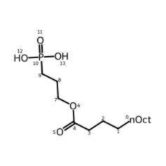 CCCCCCCCCCCC(=O)OCCCP(=O)(O)O